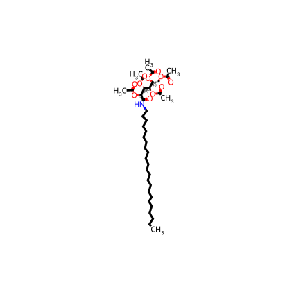 CCCCCCCCCCCCCCCCCCCCCCCNC(=O)[C@@H](OC(C)=O)[C@H](OC(C)=O)[C@@H](OC(C)=O)[C@@H](COC(C)=O)OC(C)=O